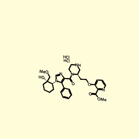 COC[C@]1(O)CCCC[C@H]1n1cnc(C(=O)N2CCNC[C@H]2CCOc2cccnc2C(=O)OC)c1-c1ccccc1.Cl.Cl